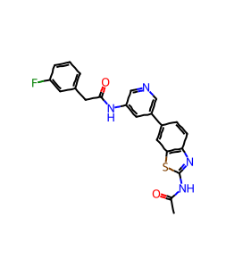 CC(=O)Nc1nc2ccc(-c3cncc(NC(=O)Cc4cccc(F)c4)c3)cc2s1